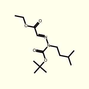 CCOC(=O)C=NN(CCC(C)C)C(=O)OC(C)(C)C